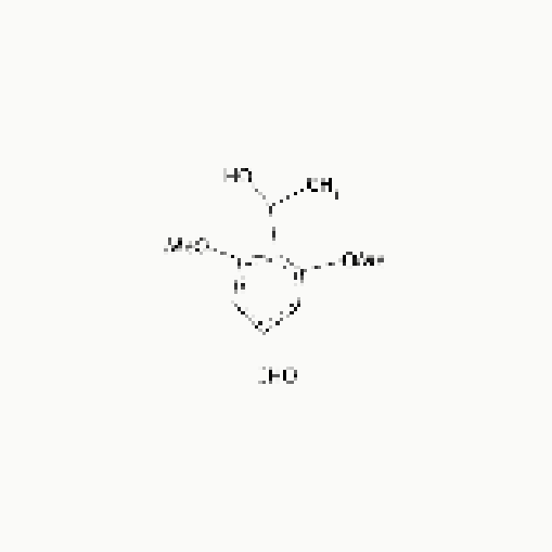 COc1cc(C=O)cc(OC)c1C(C)O